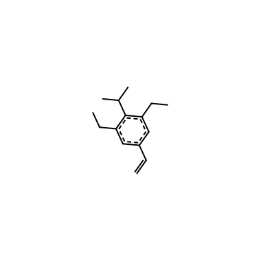 C=Cc1cc(CC)c(C(C)C)c(CC)c1